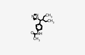 CCC(CC)C(c1ccc(NC(C)=O)cc1)n1cncn1